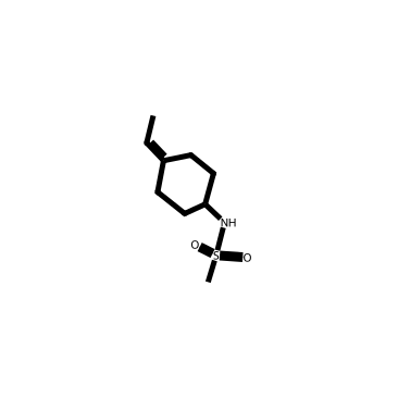 CC=C1CCC(NS(C)(=O)=O)CC1